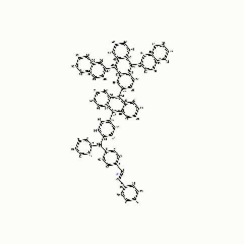 C(=C\c1ccc(N(c2ccccc2)c2ccc(-c3c4ccccc4c(-c4ccc5c(-c6ccc7ccccc7c6)c6ccccc6c(-c6ccc7ccccc7c6)c5c4)c4ccccc34)cc2)cc1)/c1ccccc1